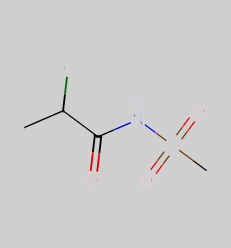 CC(Cl)C(=O)NS(C)(=O)=O